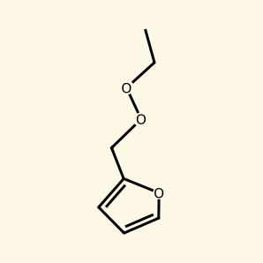 CCOOCc1ccco1